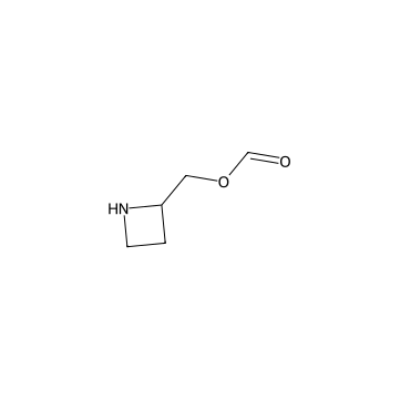 O=COCC1CCN1